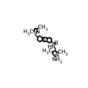 Cc1cc(C)n(Cc2ccc3c(c2)c2oc3c3cc(C(=O)NCc4c(C)cc(N)nc4C)ccc32)n1